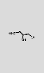 O=[C]CC(O)CO